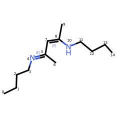 CCCC/N=C(C)/C=C(/C)NCCCC